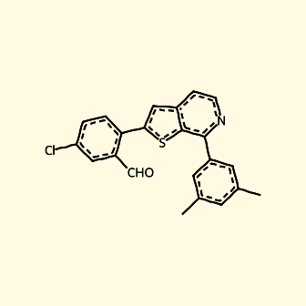 Cc1cc(C)cc(-c2nccc3cc(-c4ccc(Cl)cc4C=O)sc23)c1